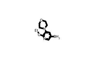 Bc1cnc(OCC)c(N2CCOCC2)c1